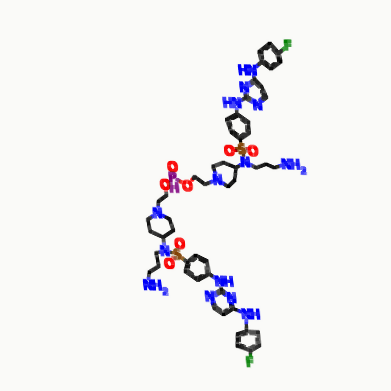 NCCCN(C1CCN(CCO[PH](=O)OCCN2CCC(N(CCCN)S(=O)(=O)c3ccc(Nc4nccc(Nc5ccc(F)cc5)n4)cc3)CC2)CC1)S(=O)(=O)c1ccc(Nc2nccc(Nc3ccc(F)cc3)n2)cc1